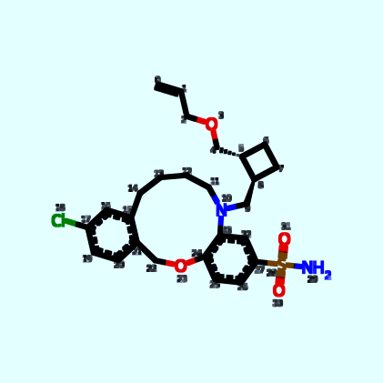 C=CCOC[C@@H]1CC[C@H]1CN1CCCCc2cc(Cl)ccc2COc2ccc(S(N)(=O)=O)cc21